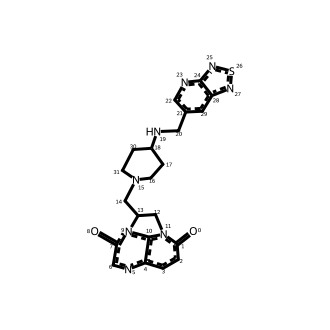 O=c1ccc2ncc(=O)n3c2n1CC3CN1CCC(NCc2cnc3nsnc3c2)CC1